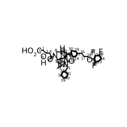 O=C(O)C[C@H](O)CC(=O)N1C[C@H]2CC(c3ccc(CCCOc4c(F)ccc(F)c4F)cc3)=C(C(=O)N(Cc3ccccc3)C3CC3)[C@@H](C1)N2